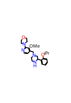 COc1c(CN2CCNC(c3ccccc3OC(C)C)C2)ccnc1N1CCOCC1